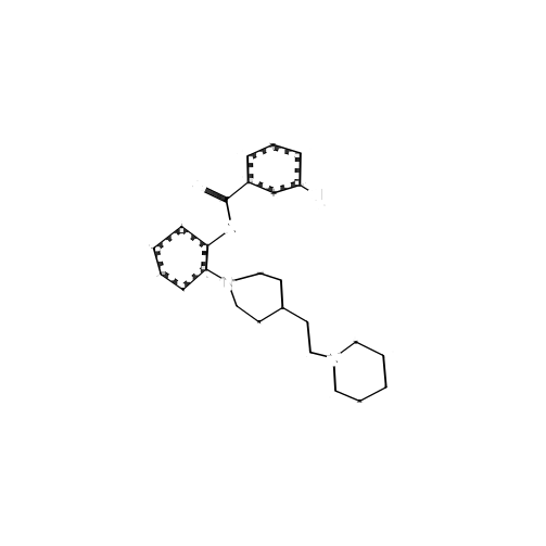 O=C(Nc1ccccc1N1CCC(CCN2CCCCC2)CC1)c1cccc(Cl)c1